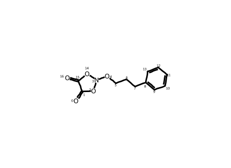 O=c1on(OCCCc2ccccc2)oc1=O